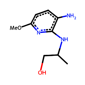 COc1ccc(N)c(NC(C)CO)n1